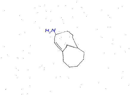 NC1C=C2CCCCCC(CC1)C2